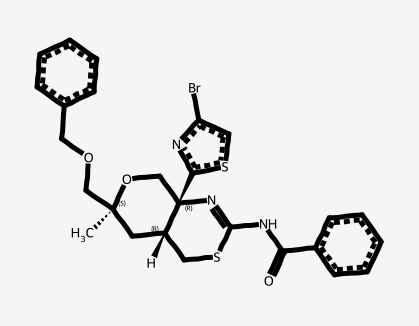 C[C@@]1(COCc2ccccc2)C[C@H]2CSC(NC(=O)c3ccccc3)=N[C@@]2(c2nc(Br)cs2)CO1